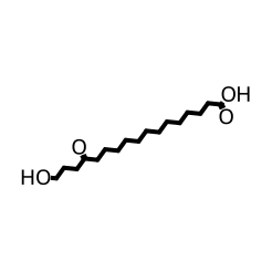 O=C(O)CCCCCCCCCCCCC(=O)CCCO